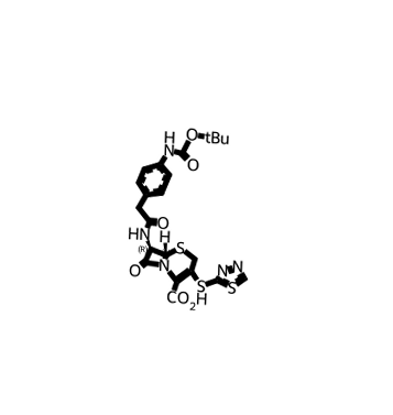 CC(C)(C)OC(=O)Nc1ccc(CC(=O)N[C@@H]2C(=O)N3C(C(=O)O)=C(Sc4nncs4)CS[C@@H]23)cc1